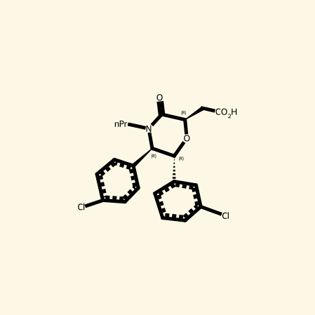 CCCN1C(=O)[C@@H](CC(=O)O)O[C@H](c2cccc(Cl)c2)[C@H]1c1ccc(Cl)cc1